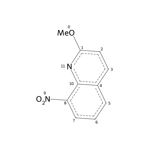 COc1ccc2cccc([N+](=O)[O-])c2n1